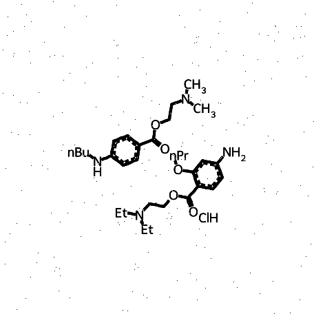 CCCCNc1ccc(C(=O)OCCN(C)C)cc1.CCCOc1cc(N)ccc1C(=O)OCCN(CC)CC.Cl